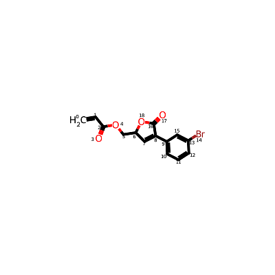 C=CC(=O)OCC1C=C(c2cccc(Br)c2)C(=O)O1